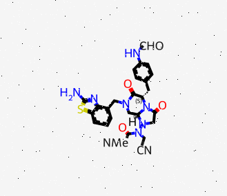 CNC(=O)N(CC#N)N1CC(=O)N2[C@@H](Cc3ccc(NC=O)cc3)C(=O)N(Cc3cccc4sc(N)nc34)C[C@@H]21